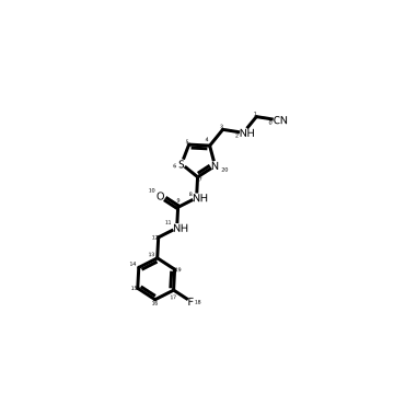 N#CCNCc1csc(NC(=O)NCc2cccc(F)c2)n1